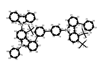 CC(C)(C)c1ccc2c(c1C(C)(C)C)c1c(-c3ccccc3)cccc1n2-c1ccc(-c2cccc(-c3cccc4c3c3c(C(C)(C)C)c(-n5c6ccccc6c6ccccc65)ccc3n4-c3ccccc3)c2)cc1